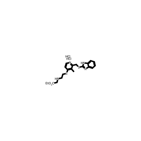 CCOC(=O)CNCCSc1ccnc(CSc2nc3ccccc3[nH]2)c1C.Cl.Cl